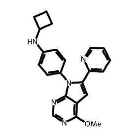 COc1ncnc2c1cc(-c1ccccn1)n2-c1ccc(NC2CCC2)cc1